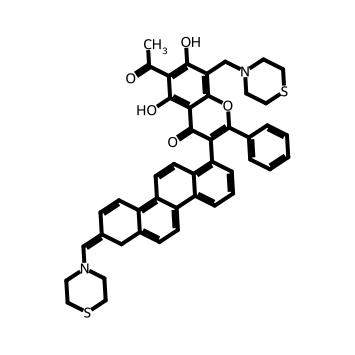 CC(=O)c1c(O)c(CN2CCSCC2)c2oc(-c3ccccc3)c(-c3cccc4c3ccc3c5c(ccc34)CC(=CN3CCSCC3)C=C5)c(=O)c2c1O